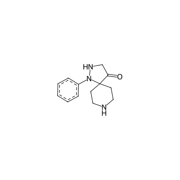 O=C1CNN(c2ccccc2)C12CCNCC2